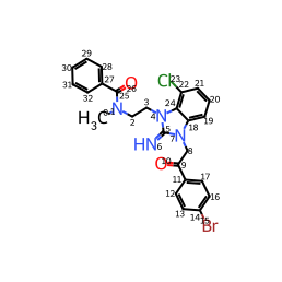 CN(CCn1c(=N)n(CC(=O)c2ccc(Br)cc2)c2cccc(Cl)c21)C(=O)c1ccccc1